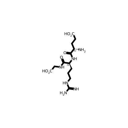 N=C(N)NCCC[C@H](NC(=O)[C@@H](N)CCC(=O)O)C(=O)NCC(=O)O